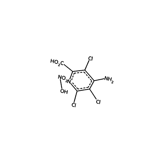 Nc1c(Cl)c(Cl)nc(C(=O)O)c1Cl.O=[N+]([O-])O